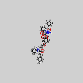 O=C(c1ccccc1)c1ccccc1N[C@@H](Cc1ccc(OCCCN(C(=O)C=Cc2ccccc2)c2ccccc2)cc1)C(=O)O